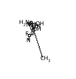 CCCCCCCC/C=C/CCCCCCCCCC[C@H](COP(=O)(O)OC[C@@]1(C#N)O[C@@H](c2ccc3c(N)ncnn23)C[C@@H]1O)OCc1cc(F)cc(C#N)c1